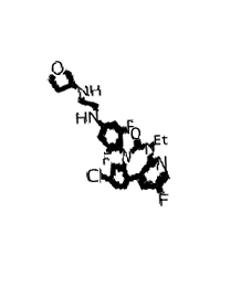 CCN1C(=O)N(c2c(F)cc(NCCNC3CCOC3)cc2F)c2cc(Cl)ccc2-c2cc(F)cnc21